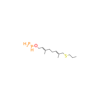 CCCSC/C(C)=C/CC/C(C)=C/COPP